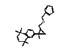 CC1(C)CCC(C)(C)c2cc(C3(C)CC3COCc3ccccc3)ccc21